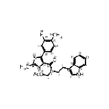 CC(=O)OCN(CCc1c[nH]c2ccccc12)C(=O)c1nc(C)sc1-c1ccc(C)c(F)c1